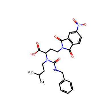 CC(C)CCN(C(=O)NCc1ccccc1)C(CCN1C(=O)c2ccc([N+](=O)[O-])cc2C1=O)C(=O)O